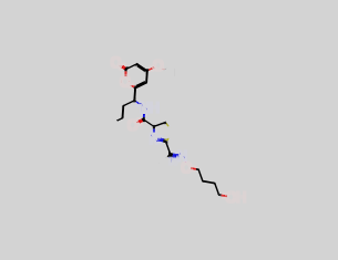 CCCC(NC(=O)C1CSC(/C(C)=N/OCCCCO)=N1)c1cc(OC)cc(=O)o1